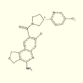 Nc1nc2cc(Cl)c(C(=O)N3CC[C@H](c4ccc(C(F)(F)F)cn4)C3)cc2c2c1COC2